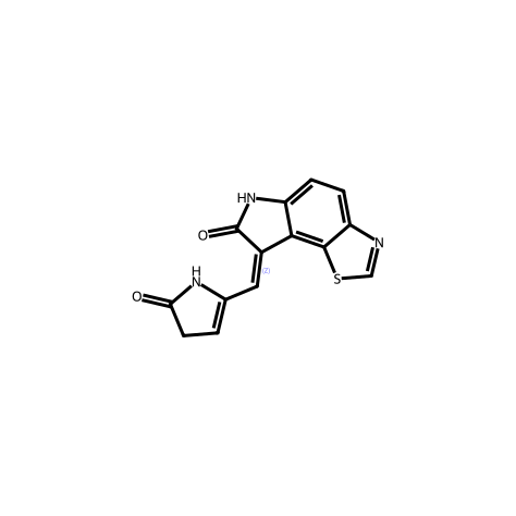 O=C1CC=C(/C=C2\C(=O)Nc3ccc4ncsc4c32)N1